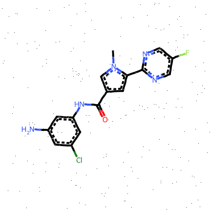 Cn1cc(C(=O)Nc2cc(N)cc(Cl)c2)cc1-c1ncc(F)cn1